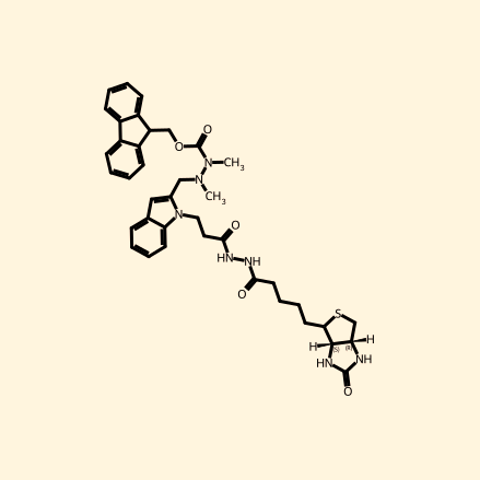 CN(Cc1cc2ccccc2n1CCC(=O)NNC(=O)CCCCC1SC[C@@H]2NC(=O)N[C@H]12)N(C)C(=O)OCC1c2ccccc2-c2ccccc21